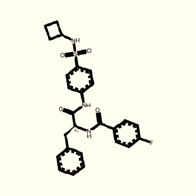 O=C(N[C@@H](Cc1ccccc1)C(=O)Nc1ccc(S(=O)(=O)NC2CCC2)cc1)c1ccc(F)cc1